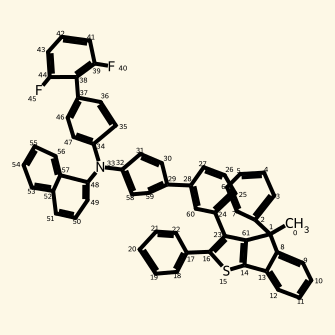 CC1(c2ccccc2)c2ccccc2-c2sc(-c3ccccc3)c(-c3cccc(-c4ccc(N(c5ccc(-c6c(F)cccc6F)cc5)c5cccc6ccccc56)cc4)c3)c21